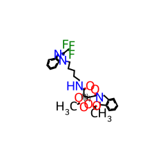 CC(=O)O[C@@H](C(=O)NCCCCCn1c(C(F)(F)F)nc2ccccc21)[C@@H](OC(C)=O)C(=O)N1Cc2ccccc2C1